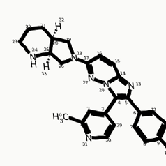 Cc1cc(-c2c(-c3ccc(F)cc3)nc3ccc(N4C[C@@H]5CCCN[C@@H]5C4)nn23)ccn1